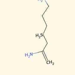 C=C(N)C[SiH2]CCCN